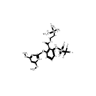 COc1cc(OC)nc(Oc2cccc(OS(=O)(=O)C(F)(F)F)c2C(=O)OCC[Si](C)(C)C)n1